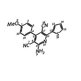 COc1ccc(-c2c(C#N)c(N)nc(-c3cccs3)c2C#N)cc1